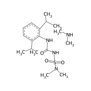 CC(C)c1cccc(C(C)C)c1NC(=O)NS(=O)(=O)N(C)C.CNC